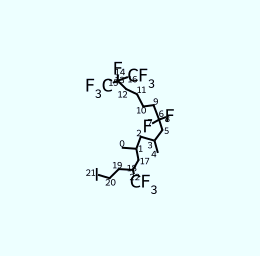 CC(CC(C)CC(F)(F)CCCCC(F)(C(F)(F)F)C(F)(F)F)CC(CCI)C(F)(F)F